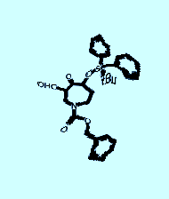 CC(C)(C)[Si](OC1CCN(C(=O)OCc2ccccc2)CC(C=O)C1=O)(c1ccccc1)c1ccccc1